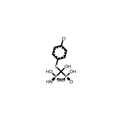 N=P(O)(O)C(O)(Sc1ccc(Cl)cc1)P(=O)(O)O